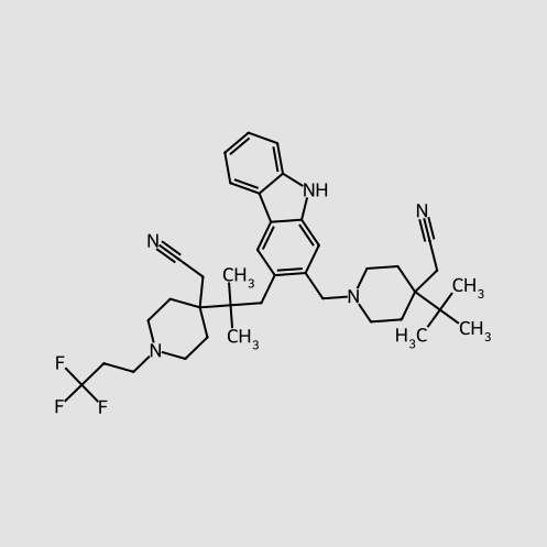 CC(C)(C)C1(CC#N)CCN(Cc2cc3[nH]c4ccccc4c3cc2CC(C)(C)C2(CC#N)CCN(CCC(F)(F)F)CC2)CC1